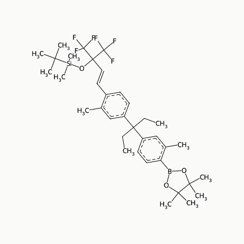 CCC(CC)(c1ccc(C=CC(O[Si](C)(C)C(C)(C)C)(C(F)(F)F)C(F)(F)F)c(C)c1)c1ccc(B2OC(C)(C)C(C)(C)O2)c(C)c1